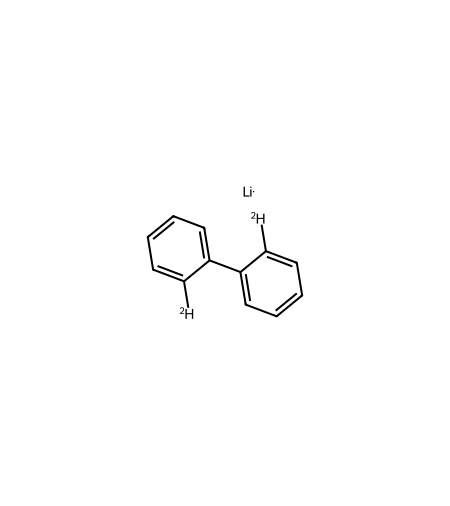 [2H]c1ccccc1-c1ccccc1[2H].[Li]